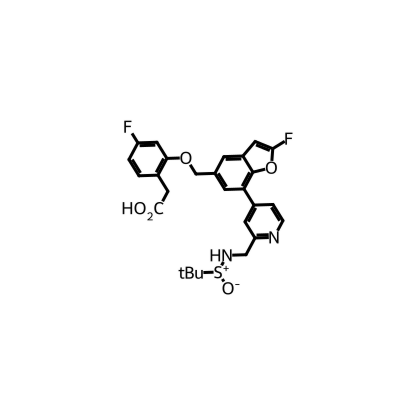 CC(C)(C)[S+]([O-])NCc1cc(-c2cc(COc3cc(F)ccc3CC(=O)O)cc3cc(F)oc23)ccn1